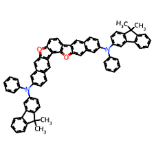 CC1(C)c2ccccc2-c2cc(N(c3ccccc3)c3ccc4cc5c(cc4c3)oc3c5ccc4oc5cc6cc(N(c7ccccc7)c7ccc8c(c7)-c7ccccc7C8(C)C)ccc6cc5c43)ccc21